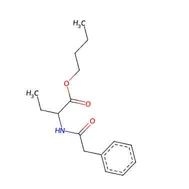 CCCCOC(=O)C(CC)NC(=O)Cc1ccccc1